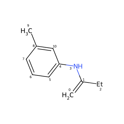 C=C(CC)Nc1cccc(C)c1